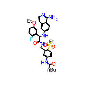 CCCCC(=O)Nc1ccc(S(=O)(=O)CC)c(CNC(=O)C(Nc2ccc3c(N)nccc3c2)c2cc(OCC)ccc2F)c1